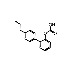 CCCc1ccc(-c2ccccc2OC(=O)O)cc1